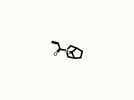 C=CC(=O)N1CC2CCC(C1)C2=O